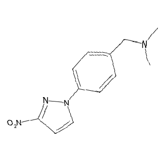 CN(C)Cc1ccc(-n2ccc([N+](=O)[O-])n2)cc1